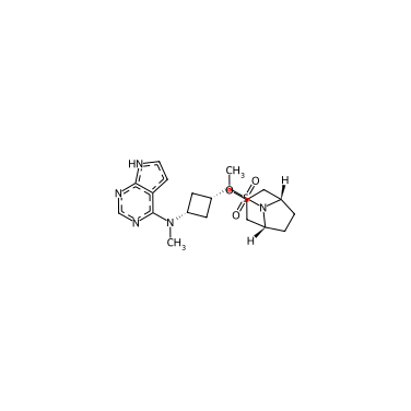 COC1C[C@H]2CC[C@@H](C1)N2S(=O)(=O)C[C@H]1C[C@@H](N(C)c2ncnc3[nH]ccc23)C1